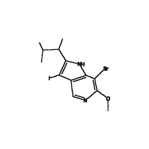 COc1ncc2c(I)c(C(C)C(C)C)[nH]c2c1Br